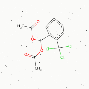 CC(=O)OC(OC(C)=O)c1ccccc1C(Cl)(Cl)Cl